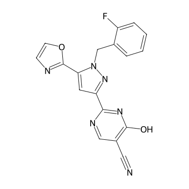 N#Cc1cnc(-c2cc(-c3ncco3)n(Cc3ccccc3F)n2)nc1O